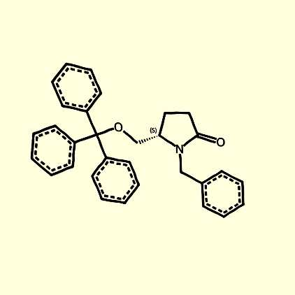 O=C1CC[C@@H](COC(c2ccccc2)(c2ccccc2)c2ccccc2)N1Cc1ccccc1